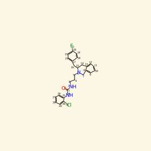 O=C(NCCCN1Cc2ccccc2CC1Cc1ccc(F)cc1)Nc1ccccc1Cl